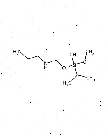 CO[Si](C)(OCNCCN)C(C)C